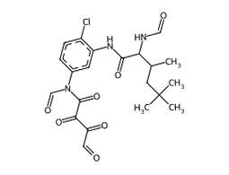 CC(CC(C)(C)C)C(NC=O)C(=O)Nc1cc(N(C=O)C(=O)C(=O)C(=O)C=O)ccc1Cl